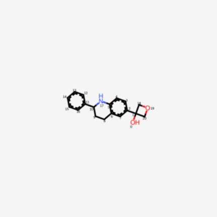 OC1(c2ccc3c(c2)CCC(c2ccccc2)N3)COC1